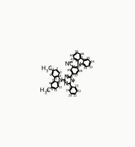 Cc1ccc2c(c1)c1cc(C)ccc1n2-c1nc(-c2ccccc2)nc(-c2ccc(-n3c4ccccc4c4ccccc43)c(C#N)c2)n1